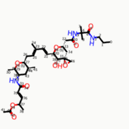 CCCNC(=O)C(C)(C)NC(=O)C[C@@H]1C[C@@]2(CO2)[C@H](O)[C@@H](C=CC(C)=CC[C@@H]2O[C@H](C)[C@H](NC(=O)C=CC(C)OC(C)=O)C[C@@H]2C)O1